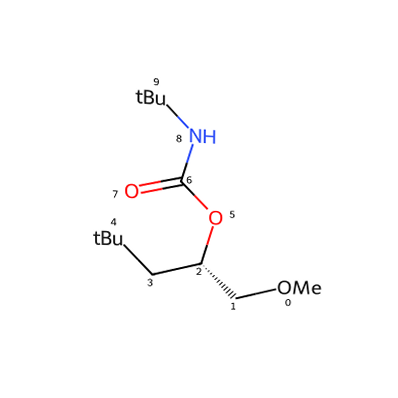 COC[C@H](CC(C)(C)C)OC(=O)NC(C)(C)C